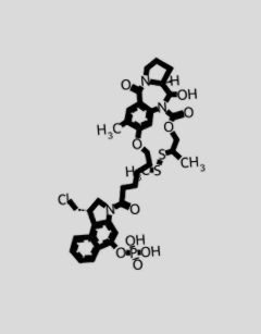 CSSC(C)COC(=O)N1c2cc(OCCCCCC(=O)N3C[C@@H](CCl)c4c3cc(OP(=O)(O)O)c3ccccc43)c(C)cc2C(=O)N2CCC[C@H]2C1O